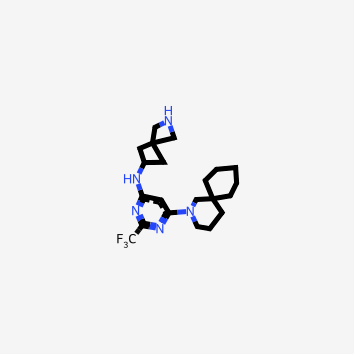 FC(F)(F)c1nc(NC2CC3(CNC3)C2)cc(N2CCCC3(CCCCC3)C2)n1